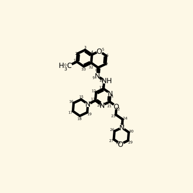 Cc1ccc2occ/c(=N\Nc3cc(N4CCCCC4)nc(OCCN4CCOCC4)n3)c2c1